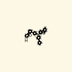 C1=Cc2c(oc3c(-c4ccc(N(c5ccc(-c6ccccc6)cc5)c5ccc6c(c5)oc5ccccc56)cc4)cccc23)CN1